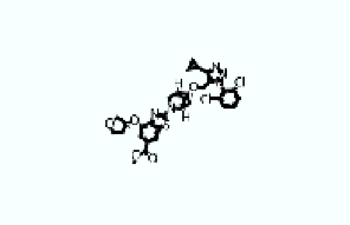 COC(=O)c1cc(O[C@H]2CCOC2)c2nc(N3C[C@@H]4C[C@H]3C[C@H]4OCc3c(C4CC4)nnn3-c3c(Cl)cccc3Cl)sc2c1